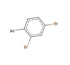 CC(=O)c1[c]cc(Br)cc1Br